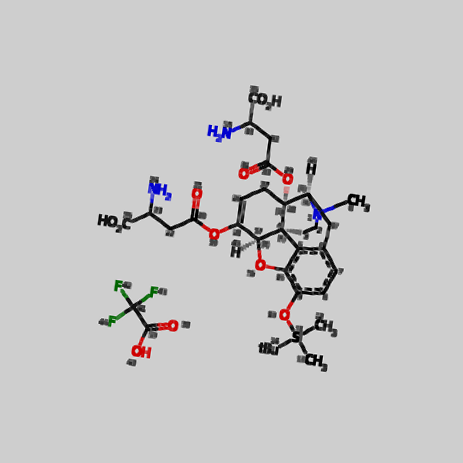 CN1CC[C@]23c4c5ccc(O[Si](C)(C)C(C)(C)C)c4O[C@H]2C(OC(=O)CC(N)C(=O)O)=CC[C@@]3(OC(=O)CC(N)C(=O)O)[C@H]1C5.O=C(O)C(F)(F)F